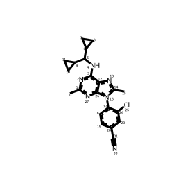 Cc1nc(NC(C2CC2)C2CC2)c2nc(C)n(-c3ccc(C#N)cc3Cl)c2n1